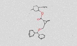 CC1CCC(C(C)C)C(OC(=O)C2C(C)C2COC(c2ccccc2)c2ccccc2)C1